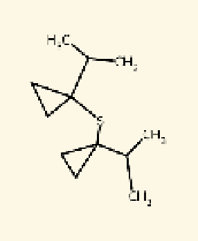 CC(C)C1(SC2(C(C)C)CC2)CC1